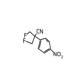 N#CC(CF)(CF)c1ccc([N+](=O)[O-])cc1